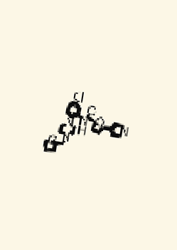 O=C(Nc1cc(Cl)ccc1N1CCN(Cc2ccco2)CC1)c1ccc(-c2ccncc2)o1